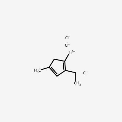 CCC1=[C]([Ti+3])CC(C)=C1.[Cl-].[Cl-].[Cl-]